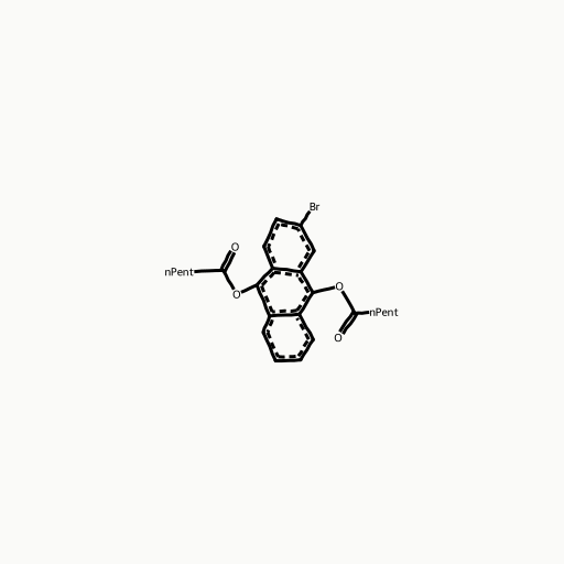 CCCCCC(=O)Oc1c2ccccc2c(OC(=O)CCCCC)c2cc(Br)ccc12